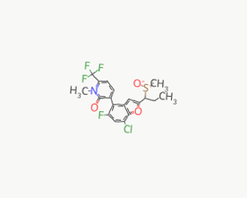 CCC(c1cc2c(-c3ccc(C(F)(F)F)n(C)c3=O)c(F)cc(Cl)c2o1)[S+](C)[O-]